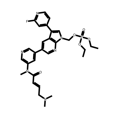 CCOP(=O)(OCC)OCn1cc(-c2ccnc(F)c2)c2cc(-c3cncc(N(C)C(=O)/C=C/CN(C)C)c3)cnc21